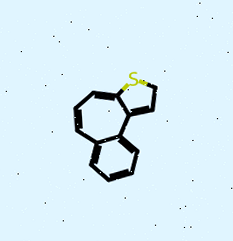 C1=Cc2ccccc2C2=CCSC2=C1